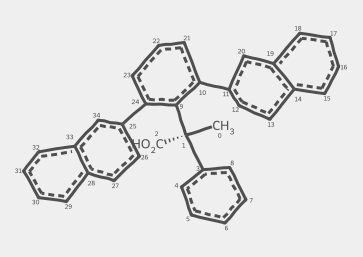 C[C@@](C(=O)O)(c1ccccc1)c1c(-c2ccc3ccccc3c2)cccc1-c1ccc2ccccc2c1